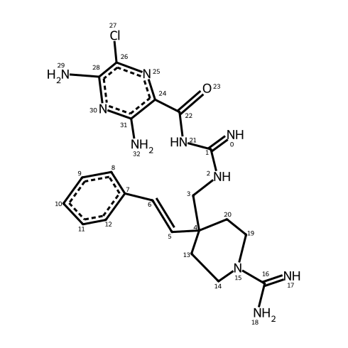 N=C(NCC1(C=Cc2ccccc2)CCN(C(=N)N)CC1)NC(=O)c1nc(Cl)c(N)nc1N